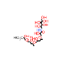 CC(CC(O)COCC(O)C(=O)O)OCC(O)CC(C)OCC(O)C(=O)NC[C@H](O)[C@@H](O)[C@H](O)[C@H](O)CO